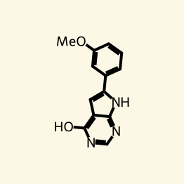 COc1cccc(-c2cc3c(O)ncnc3[nH]2)c1